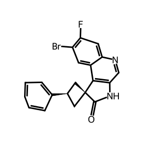 O=C1Nc2cnc3cc(F)c(Br)cc3c2[C@]12C[C@H](c1ccccc1)C2